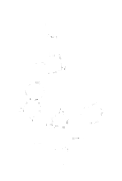 CCNCc1cncc(-c2ccc3[nH]nc(-c4nc(-c5ccccc5)c(C(=O)N5CCCC5COC)[nH]4)c3c2)c1C